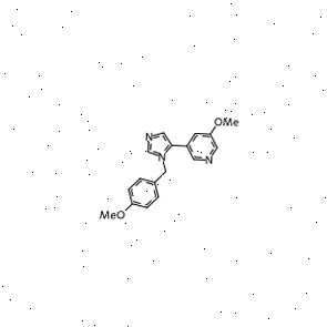 COc1ccc(Cn2cncc2-c2cncc(OC)c2)cc1